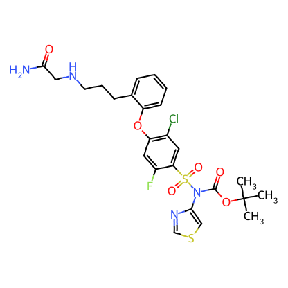 CC(C)(C)OC(=O)N(c1cscn1)S(=O)(=O)c1cc(Cl)c(Oc2ccccc2CCCNCC(N)=O)cc1F